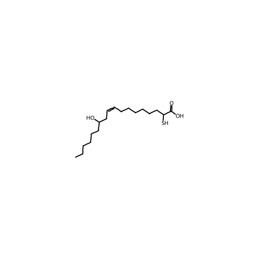 CCCCCCC(O)C/C=C\CCCCCCC(S)C(=O)O